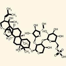 CC(C)=C[C@@H]1CO[C@]23C[C@]4(CO2)[C@H](CC[C@@H]2[C@@]5(C)CC[C@H](O[C@@H]6OC[C@H](O)[C@H](O[C@@H]7O[C@H](COS(=O)(=O)O)[C@@H](O)[C@H](O)[C@H]7O)[C@H]6O[C@@H]6O[C@@H](CO)[C@H](O)[C@H]6O)C(C)(C)[C@@H]5CC[C@]24C)[C@H]3[C@@]1(C)O